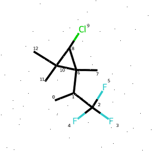 CC(C(F)(F)F)C1(C)C(Cl)C1(C)C